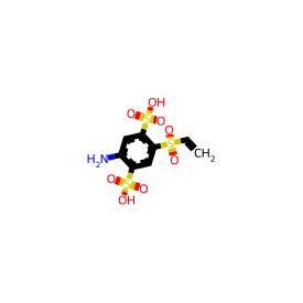 C=CS(=O)(=O)c1cc(S(=O)(=O)O)c(N)cc1S(=O)(=O)O